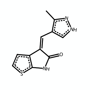 Cc1n[nH]cc1/C=C1\C(=O)Nc2sccc21